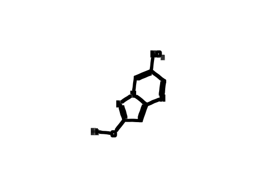 CCOc1cc2ncc([N+](=O)[O-])cn2n1